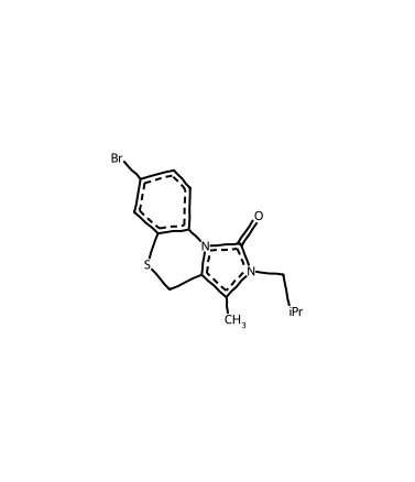 Cc1c2n(c(=O)n1CC(C)C)-c1ccc(Br)cc1SC2